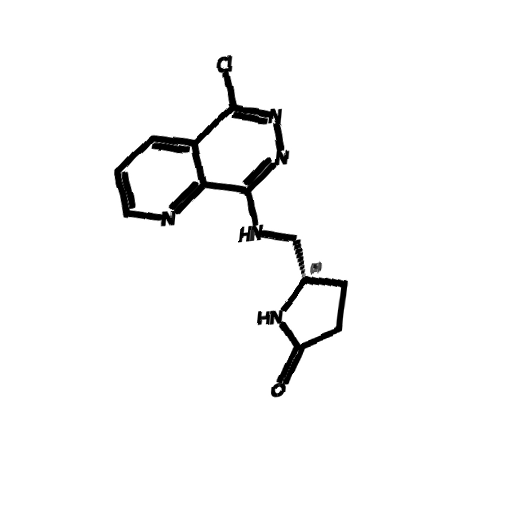 O=C1CC[C@@H](CNc2nnc(Cl)c3cccnc23)N1